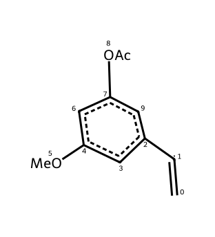 C=[C]c1cc(OC)cc(OC(C)=O)c1